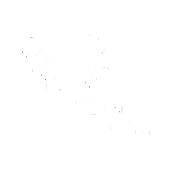 CC(C)(C)OC(=O)Nc1ccc2c(c1)N(S(=O)(=O)c1cccc(C(F)(F)F)c1)C[C@H](CC(=O)NS(=O)(=O)c1ccccn1)O2